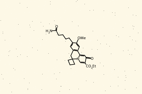 CCOC(=O)c1cn2c(cc1=O)-c1cc(OC)c(CCCCC(N)=O)cc1CC21CCC1